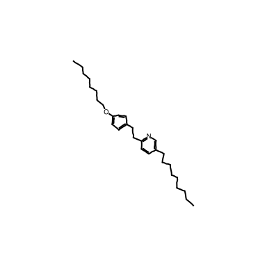 CCCCCCCCCc1ccc(CCc2ccc(OCCCCCCCC)cc2)nc1